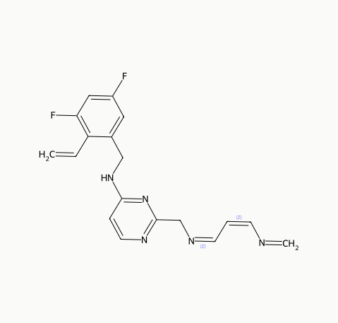 C=Cc1c(F)cc(F)cc1CNc1ccnc(C/N=C\C=C/N=C)n1